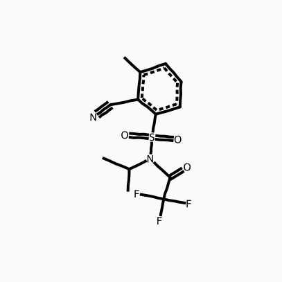 Cc1cccc(S(=O)(=O)N(C(=O)C(F)(F)F)C(C)C)c1C#N